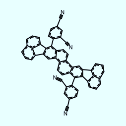 N#Cc1ccc(-c2c3c(cc4c2ccc2c5cc6c(c(-c7ccc(C#N)cc7C#N)c5ccc42)-c2cccc4cccc-6c24)-c2cccc4cccc-3c24)c(C#N)c1